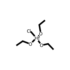 CC[O][Hf]([Cl])([O]CC)[O]CC